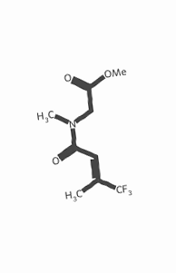 COC(=O)CN(C)C(=O)/C=C(\C)C(F)(F)F